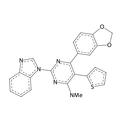 CNc1nc(-n2cnc3ccccc32)nc(-c2ccc3c(c2)OCO3)c1-c1cccs1